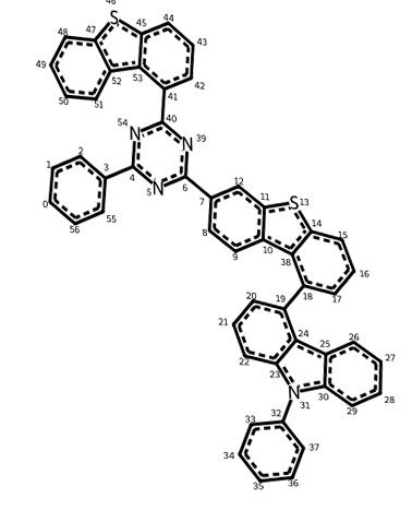 c1ccc(-c2nc(-c3ccc4c(c3)sc3cccc(-c5cccc6c5c5ccccc5n6-c5ccccc5)c34)nc(-c3cccc4sc5ccccc5c34)n2)cc1